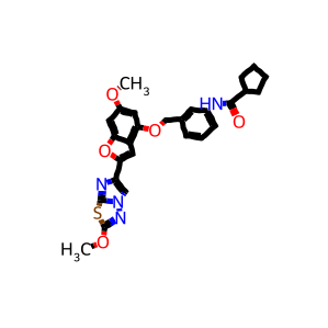 COc1cc(OCc2cccc(NC(=O)C3CCCC3)c2)c2cc(-c3cn4nc(OC)sc4n3)oc2c1